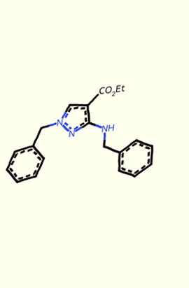 CCOC(=O)c1cn(Cc2ccccc2)nc1NCc1ccccc1